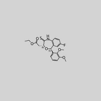 CCOC(=O)C[C@H]1O[C@H](c2cccc(OC)c2OC)c2cc(F)ccc2NC1=S